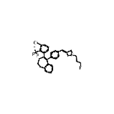 FCCCN1CC(=Cc2ccc(C3=C(c4cccc(Cl)c4C(F)(F)F)CCCc4ccccc43)cc2)C1